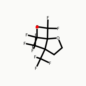 FC(F)(F)C1(C(F)(F)F)CCOC1(C(F)(F)F)C(F)(F)F